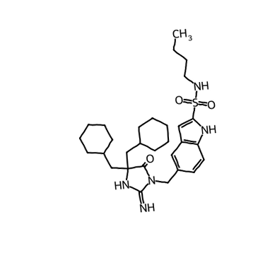 CCCCNS(=O)(=O)c1cc2cc(CN3C(=N)NC(CC4CCCCC4)(CC4CCCCC4)C3=O)ccc2[nH]1